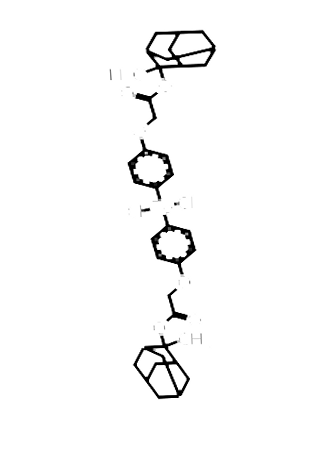 CC1(OC(=O)COc2ccc([Te](Cl)(Cl)c3ccc(OCC(=O)OC4(C)C5CC6CC(C5)CC4C6)cc3)cc2)C2CC3CC(C2)CC1C3